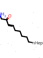 CCCCCCCCCCCCC=CC(=O)CN